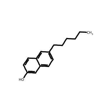 CCCCCCc1ccc2cc(O)ccc2c1